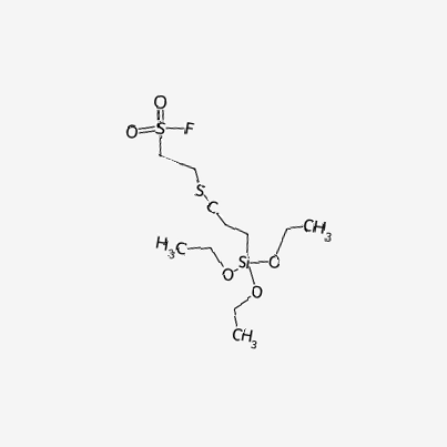 CCO[Si](CCCSCCS(=O)(=O)F)(OCC)OCC